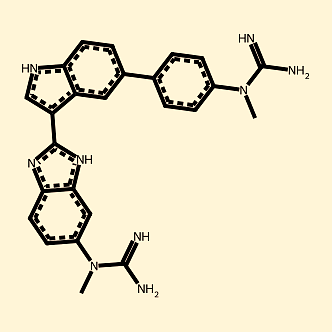 CN(C(=N)N)c1ccc(-c2ccc3[nH]cc(-c4nc5ccc(N(C)C(=N)N)cc5[nH]4)c3c2)cc1